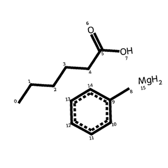 CCCCCC(=O)O.Cc1ccccc1.[MgH2]